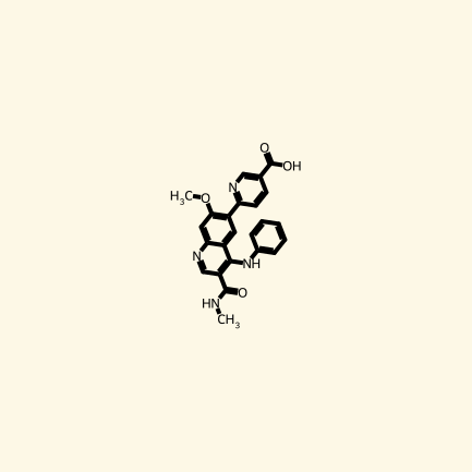 CNC(=O)c1cnc2cc(OC)c(-c3ccc(C(=O)O)cn3)cc2c1Nc1ccccc1